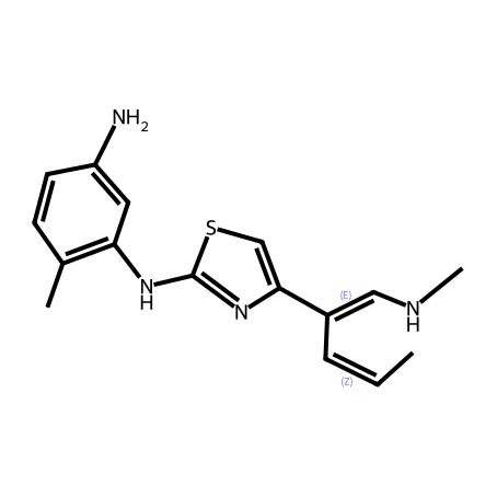 C/C=C\C(=C/NC)c1csc(Nc2cc(N)ccc2C)n1